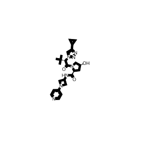 CC(C)(C)[C@@H](C(=O)N1C[C@H](O)C[C@H]1C(=O)NC1CN(c2ccncc2)C1)n1cc(C2CC2)nn1